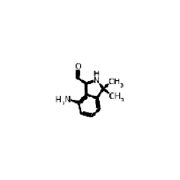 CC1(C)NC(C=O)c2c(N)cccc21